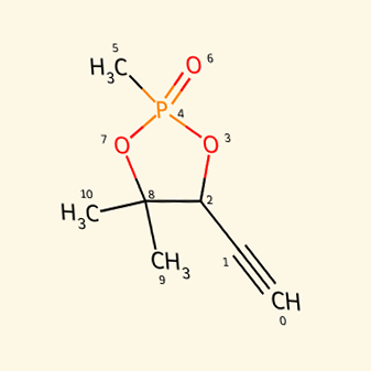 C#CC1OP(C)(=O)OC1(C)C